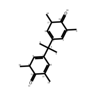 CC1=CC(C(C)(C)C2=CC(C)C(=O)C(C)=C2)=CC(C)C1=O